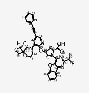 C[C@@H]1N(c2cc(C#Cc3ccccc3)cnc2O[C@H]2C[C@@H](C(=O)O)N(c3nc(C(F)F)nc4c3oc3ccccc34)C2)CCOC12COC2